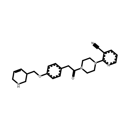 N#Cc1cccnc1N1CCN(C(=O)Cc2ccc(OCC3C=CCNC3)cc2)CC1